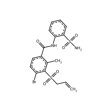 C=CCS(=O)(=O)c1c(Br)ccc(C(=O)Nc2ccccc2S(N)(=O)=O)c1C